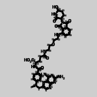 CN(Cc1cnc2nc(N)nc(N)c2n1)c1ccc(C(=O)N[C@@H](CCC(=O)NCCOCCNc2cccc3c2C(=O)N(C2CCC(O)NC2=O)C3=O)C(=O)O)cc1